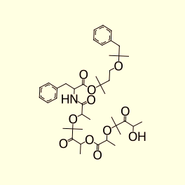 CC(O)C(=O)C(C)(C)OC(C)C(=O)OC(C)C(=O)C(C)(C)OC(C)C(=O)NC(Cc1ccccc1)C(=O)OC(C)(C)CCOC(C)(C)Cc1ccccc1